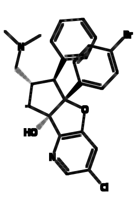 CN(C)C[C@H]1[CH][C@]2(O)c3ncc(Cl)cc3O[C@@]2(c2ccc(Br)cc2)[C@@H]1c1ccccc1